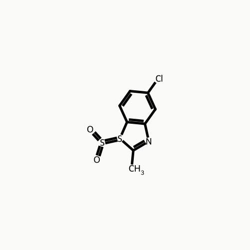 CC1=Nc2cc(Cl)ccc2S1=S(=O)=O